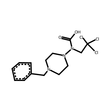 O=C(O)N(CC(Cl)(Cl)Cl)N1CCN(Cc2ccccc2)CC1